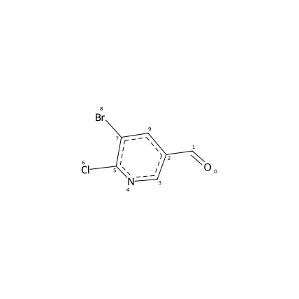 O=Cc1cnc(Cl)c(Br)c1